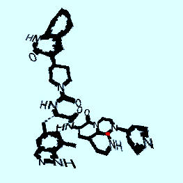 Cc1cc(C[C@H](NC(=O)N2CCC(c3cc4ccccc4[nH]c3=O)CC2)C(=O)N[C@H](CC2CCNCC2)C(=O)N2CCN(c3ccncc3)CC2)cc2cn[nH]c12